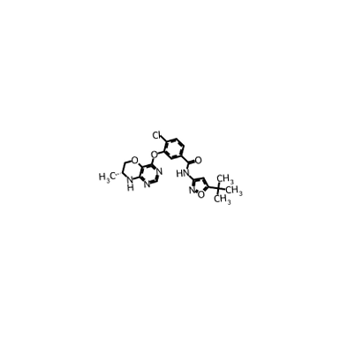 C[C@@H]1COc2c(ncnc2Oc2cc(C(=O)Nc3cc(C(C)(C)C)on3)ccc2Cl)N1